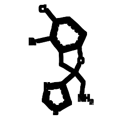 NCC1(c2cscn2)Cc2c(ccc(Cl)c2Br)O1